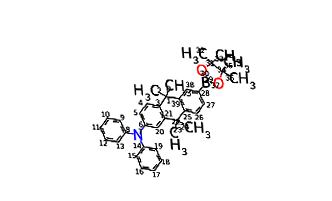 CC1(C)c2ccc(N(c3ccccc3)c3ccccc3)cc2C(C)(C)c2ccc(B3OC(C)(C)C(C)(C)O3)cc21